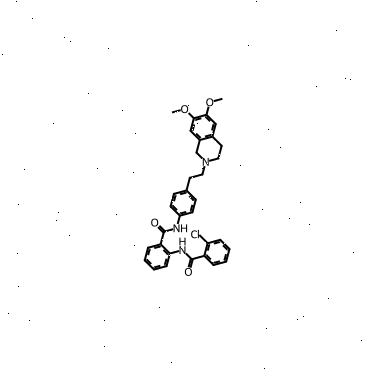 COc1cc2c(cc1OC)CN(CCc1ccc(NC(=O)c3ccccc3NC(=O)c3ccccc3Cl)cc1)CC2